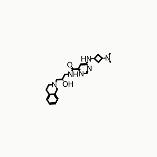 CN(C)[C@H]1C[C@@H](Nc2cc(C(=O)NC[C@H](O)CN3CCc4ccccc4C3)ncn2)C1